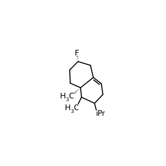 CC(C)C1CC=C2C[C@@H](F)CC[C@]2(C)C1C